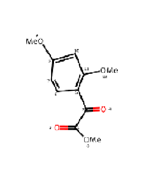 COC(=O)C(=O)c1ccc(OC)cc1OC